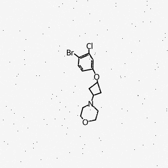 Clc1cc(OC2CC(N3CCOCC3)C2)ccc1Br